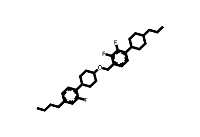 CCCCc1ccc(C2CCC(OCc3ccc(C4CCC(CCC)CC4)c(F)c3F)CC2)c(F)c1